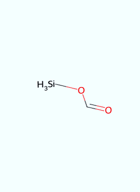 O=CO[SiH3]